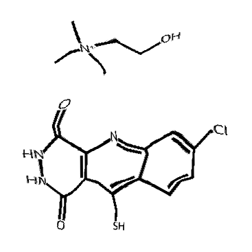 C[N+](C)(C)CCO.O=c1[nH][nH]c(=O)c2c(S)c3ccc(Cl)cc3nc12